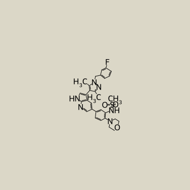 Cc1nn(Cc2cccc(F)c2)c(C)c1-c1c[nH]c2ncc(-c3ccc(N4CCOCC4)c(NS(C)(=O)=O)c3)cc12